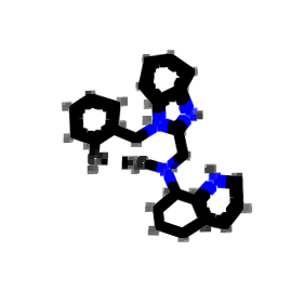 CN(Cc1nc2ccccc2n1Cc1ccccc1C#N)C1CCCc2cccnc21